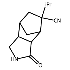 CC(C)C1(C#N)CC2CC1C1C(=O)NCC21